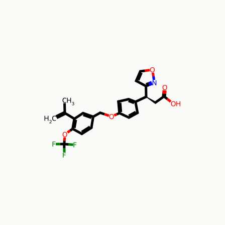 C=C(C)c1cc(COc2ccc([C@H](CC(=O)O)c3ccon3)cc2)ccc1OC(F)(F)F